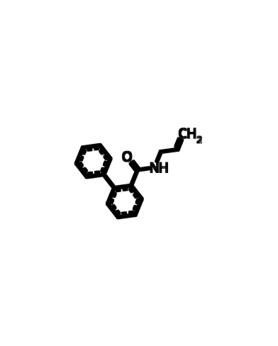 C=CCNC(=O)c1ccccc1-c1ccccc1